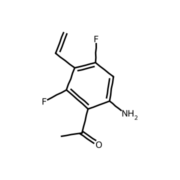 C=Cc1c(F)cc(N)c(C(C)=O)c1F